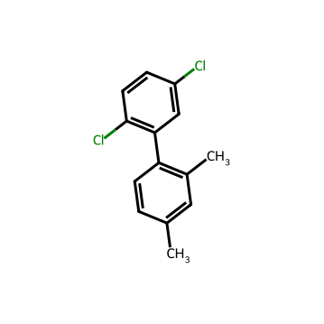 Cc1ccc(-c2cc(Cl)ccc2Cl)c(C)c1